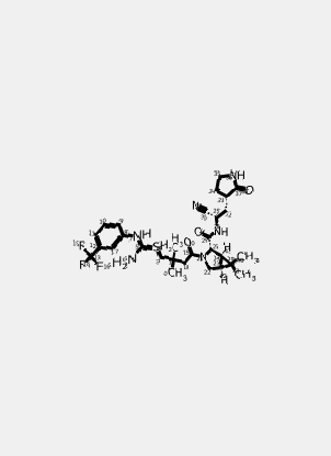 CC(C)(C/[SH]=C(\N)Nc1cccc(C(F)(F)F)c1)CC(=O)N1C[C@H]2[C@@H]([C@H]1C(=O)N[C@H](C#N)C[C@@H]1CCNC1=O)C2(C)C